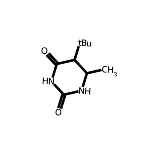 CC1NC(=O)NC(=O)C1C(C)(C)C